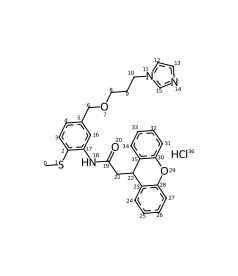 CSc1ccc(COCCCn2ccnc2)cc1NC(=O)CC1c2ccccc2Oc2ccccc21.Cl